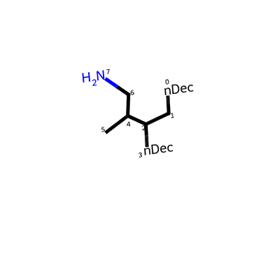 CCCCCCCCCCCC(CCCCCCCCCC)C(C)CN